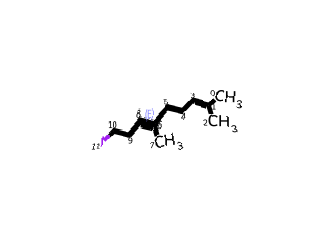 CC(C)=CCC/C(C)=C/CCI